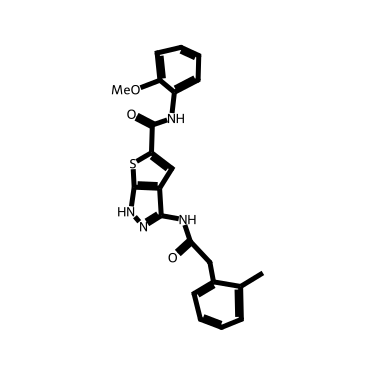 COc1ccccc1NC(=O)c1cc2c(NC(=O)Cc3ccccc3C)n[nH]c2s1